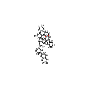 c1ccc(-c2ccccc2-c2ccccc2N(c2ccc(-c3cccc(-c4ccc5ccccc5c4)c3)cc2)c2cccc3c2oc2ccccc23)cc1